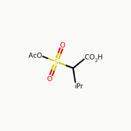 CC(=O)OS(=O)(=O)C(C(=O)O)C(C)C